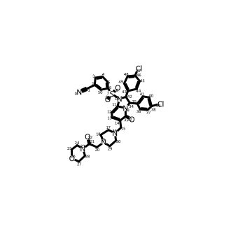 N#Cc1cccc(S(=O)(=O)N2c3ccc(CN4CCN(CC(=O)N5CCOCC5)CC4)c(=O)n3C(c3ccc(Cl)cc3)C2c2ccc(Cl)cc2)c1